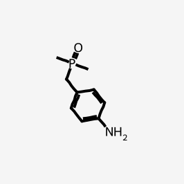 CP(C)(=O)Cc1ccc(N)cc1